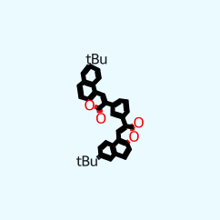 CC(C)(C)c1ccc2c(ccc3oc(=O)c(-c4cccc(-c5cc6c(ccc7cc(C(C)(C)C)ccc76)oc5=O)c4)cc32)c1